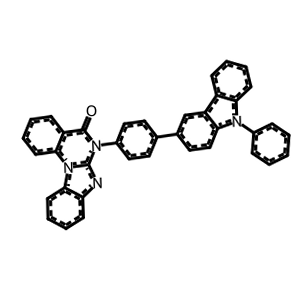 O=c1c2ccccc2n2c3ccccc3nc2n1-c1ccc(-c2ccc3c(c2)c2ccccc2n3-c2ccccc2)cc1